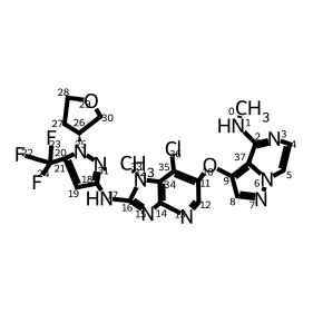 CNc1nccn2ncc(Oc3cnc4nc(Nc5cc(C(F)(F)F)n([C@@H]6CCOC6)n5)n(C)c4c3Cl)c12